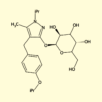 Cc1c(Cc2ccc(OC(C)C)cc2)c(O[C@@H]2OC(CO)[C@@H](O)C(O)[C@@H]2O)nn1C(C)C